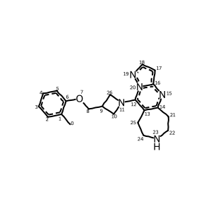 Cc1ccccc1OCC1CN(c2c3c(nc4ccnn24)CCNCC3)C1